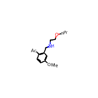 CCCOCCNCc1cc(OC)ccc1C(C)=O